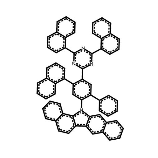 c1ccc(-c2cc(-c3nc(-c4cccc5ccccc45)nc(-c4cccc5ccccc45)n3)c(-c3cccc4ccccc34)cc2-n2c3cc4ccccc4cc3c3ccc4ccccc4c32)cc1